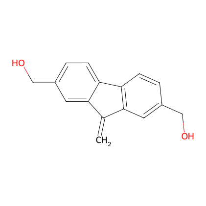 C=C1c2cc(CO)ccc2-c2ccc(CO)cc21